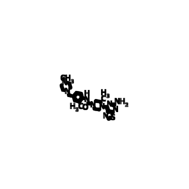 Cc1cc(CN2CCN(C)CC2)ccc1NC(=O)N1CCN(c2nc(N)nc3scnc23)[C@@H](C)C1